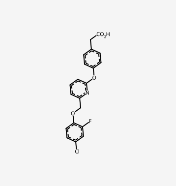 O=C(O)Cc1ccc(Oc2cccc(COc3ccc(Cl)cc3F)n2)cc1